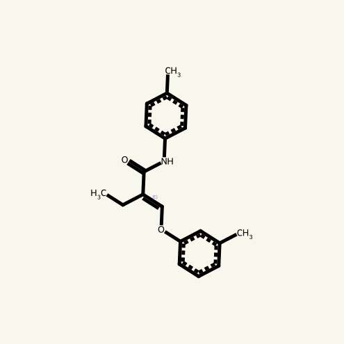 CC/C(=C\Oc1cccc(C)c1)C(=O)Nc1ccc(C)cc1